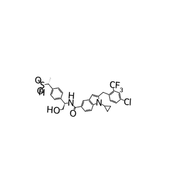 C[C@H](c1ccc([C@H](CO)NC(=O)c2ccc3c(c2)cc(Cc2ccc(Cl)cc2C(F)(F)F)n3C2CC2)cc1)[SH](=O)=O